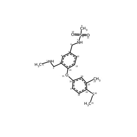 CNCc1cc(CNS(C)(=O)=O)ccc1Oc1ccc(SC)c(C)c1